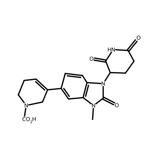 Cn1c(=O)n(C2CCC(=O)NC2=O)c2ccc(C3=CCCN(C(=O)O)C3)cc21